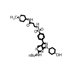 CCCCNc1ncc2c(-c3ccc(S(=O)(=O)NCCC(=O)NC4CCN(C)CC4)cc3)nn([C@H]3CC[C@@H](O)CC3)c2n1